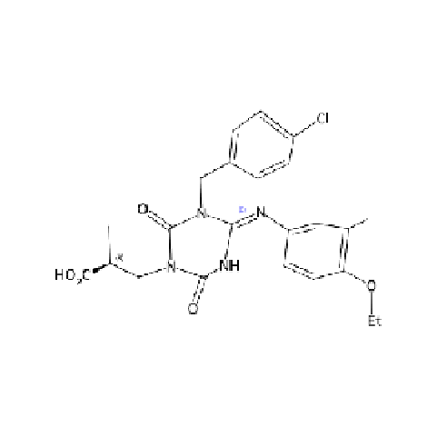 CCOc1ccc(/N=c2\[nH]c(=O)n(C[C@H](C)C(=O)O)c(=O)n2Cc2ccc(Cl)cc2)cc1C